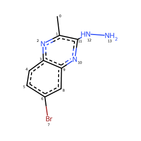 Cc1nc2ccc(Br)cc2nc1NN